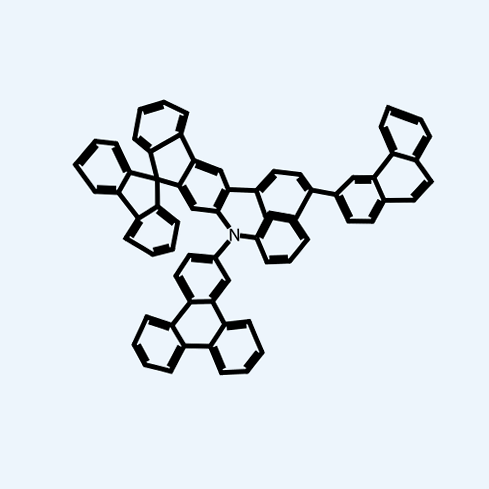 c1ccc(N(c2ccc3c4ccccc4c4ccccc4c3c2)c2cc3c(cc2-c2ccc(-c4ccc5ccc6ccccc6c5c4)cc2)-c2ccccc2C32c3ccccc3-c3ccccc32)cc1